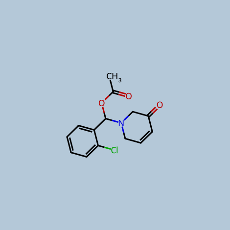 CC(=O)OC(c1ccccc1Cl)N1CC=CC(=O)C1